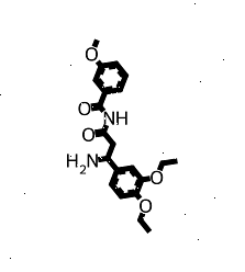 CCOc1ccc(C(N)CC(=O)NC(=O)c2cccc(OC)c2)cc1OCC